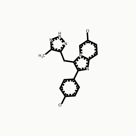 Cc1n[nH]nc1Cc1c(-c2ccc(Cl)cc2)nc2ccc(Cl)cn12